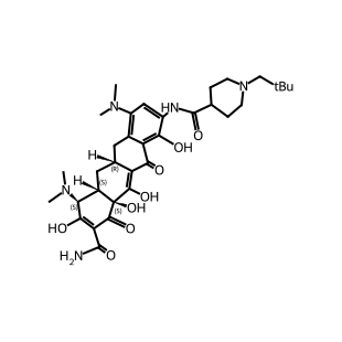 CN(C)c1cc(NC(=O)C2CCN(CC(C)(C)C)CC2)c(O)c2c1C[C@H]1C[C@H]3[C@H](N(C)C)C(O)=C(C(N)=O)C(=O)[C@@]3(O)C(O)=C1C2=O